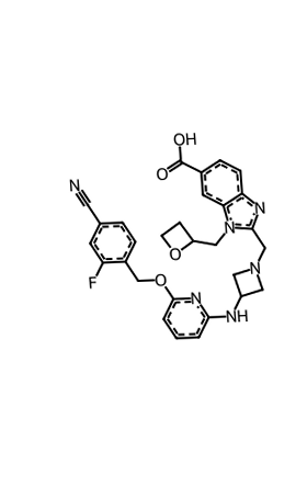 N#Cc1ccc(COc2cccc(NC3CN(Cc4nc5ccc(C(=O)O)cc5n4CC4CCO4)C3)n2)c(F)c1